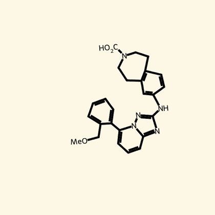 COCc1ccccc1-c1cccc2nc(Nc3ccc4c(c3)CCN(C(=O)O)CC4)nn12